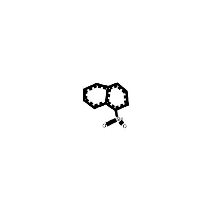 O=[SH](=O)c1cccc2ccccc12